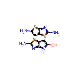 Nc1cc2sc(N)nc2s1.Nc1nc2[nH]c(O)cc2s1